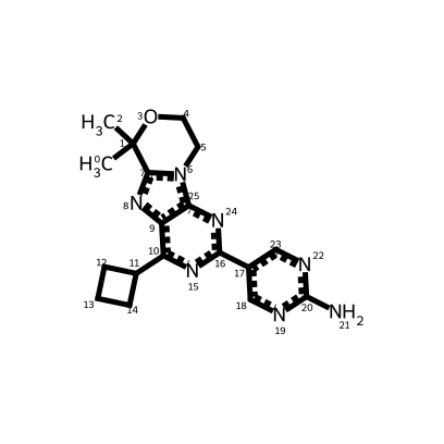 CC1(C)OCCn2c1nc1c(C3CCC3)nc(-c3cnc(N)nc3)nc12